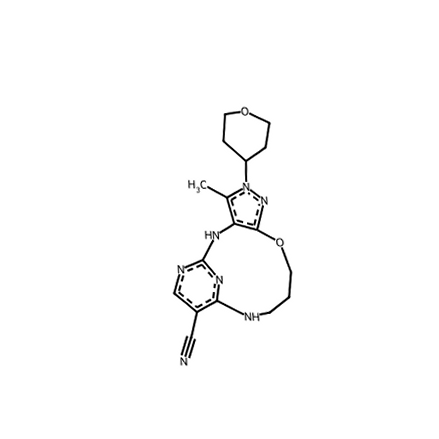 Cc1c2c(nn1C1CCOCC1)OCCCNc1nc(ncc1C#N)N2